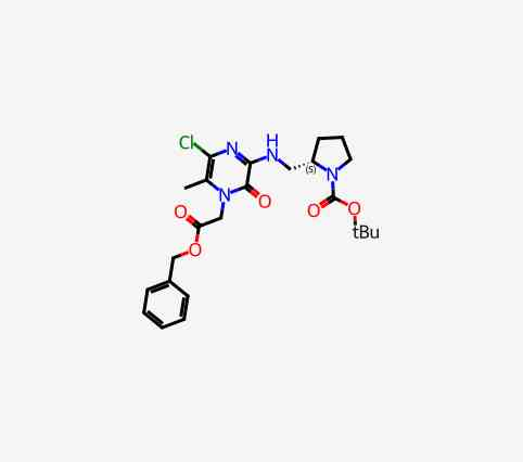 Cc1c(Cl)nc(NC[C@@H]2CCCN2C(=O)OC(C)(C)C)c(=O)n1CC(=O)OCc1ccccc1